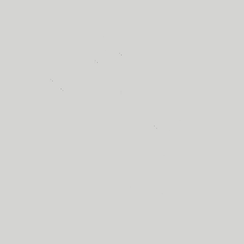 Cn1cc(Cn2cc(Cl)c(OCCc3cnc(Oc4ccc(Cl)c(C(F)(F)F)c4)c(F)c3)nc2=O)cn1